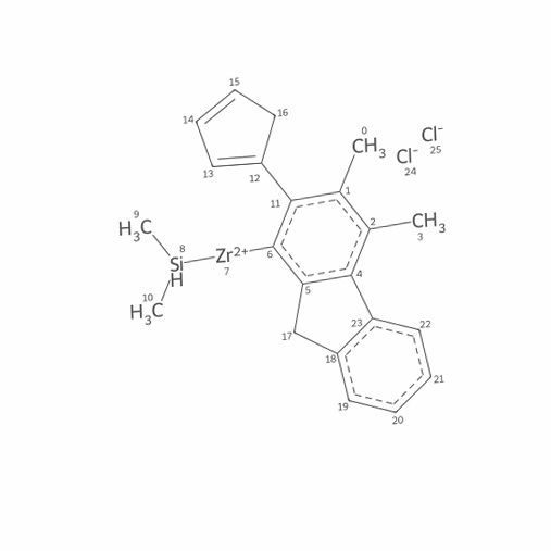 Cc1c(C)c2c([c]([Zr+2][SiH](C)C)c1C1=CC=CC1)Cc1ccccc1-2.[Cl-].[Cl-]